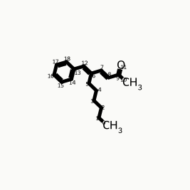 CCCCCCC(/C=C/C(C)=O)=C\c1ccccc1